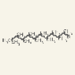 CC(C)=CCCC(C)=CCCC(C)=CCCC(C)=CCCC(C)=CCCC(C)=CCCC(C)=CCCC(C)=CCCC(C)=CCCC(C)=CCBr